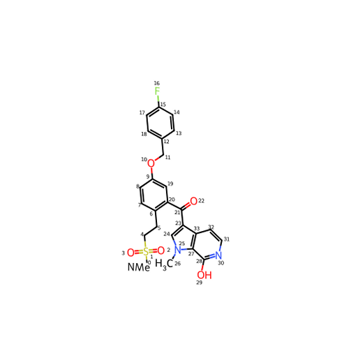 CNS(=O)(=O)CCc1ccc(OCc2ccc(F)cc2)cc1C(=O)c1cn(C)c2c(O)nccc12